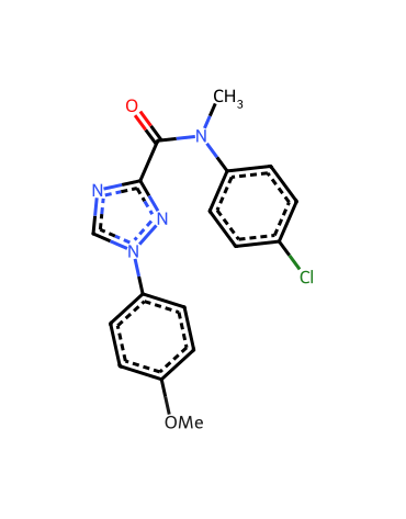 COc1ccc(-n2cnc(C(=O)N(C)c3ccc(Cl)cc3)n2)cc1